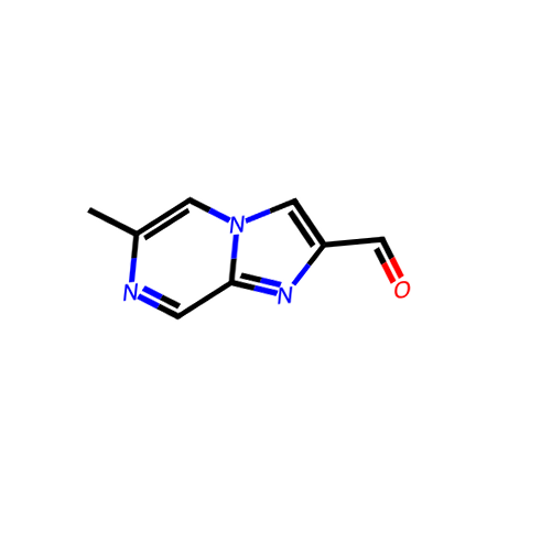 Cc1cn2cc(C=O)nc2cn1